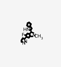 CN1Cc2cc(-c3cccnn3)c(F)cc2C(c2cc3ccccc3[nH]2)C1